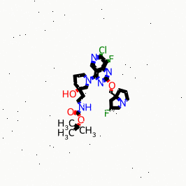 CC(C)(C)OC(=O)NCCC1(O)CCCN(c2nc(OC[C@@]34CCCN3C[C@H](F)C4)nc3c(F)c(Cl)ncc23)C1